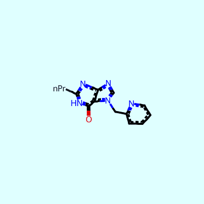 CCCc1nc2ncn(Cc3ccccn3)c2c(=O)[nH]1